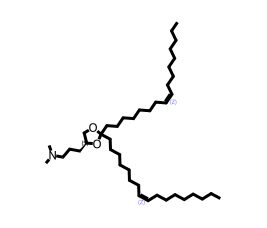 CCCCCCCC/C=C\CCCCCCCC1(CCCCCCC/C=C\CCCCCCCC)OC[C@H](CCCN(C)C)O1